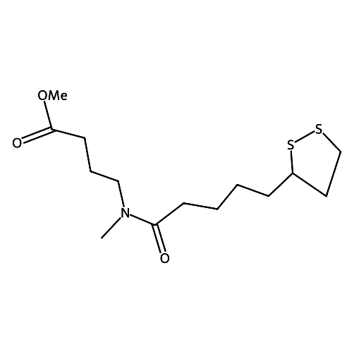 COC(=O)CCCN(C)C(=O)CCCCC1CCSS1